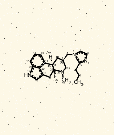 CCCc1nccn1C[C@@H]1C[C@@H]2c3cccc4[nH]cc(c34)C[C@H]2N(C)C1